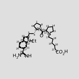 CCn1c(CC[C@@H]2CCCN2C(=O)[C@H]2CCCN2CCCCCC(=O)O)cc2ccc(C(=N)N)cc21